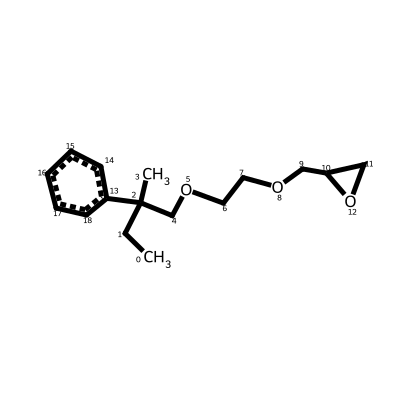 CCC(C)(COCCOCC1CO1)c1ccccc1